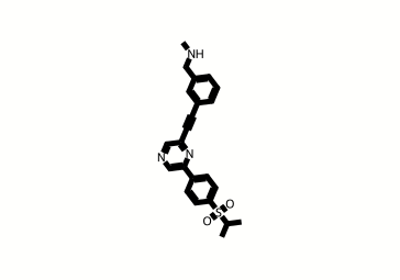 CNCc1cccc(C#Cc2cncc(-c3ccc(S(=O)(=O)C(C)C)cc3)n2)c1